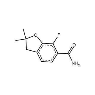 CC1(C)Cc2ccc(C(N)=O)c(F)c2O1